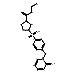 C=C(CCC)C1CCN(S(=O)(=O)c2ccc(Cn3ccccc3=O)cc2)C1